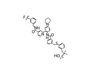 CC(C)(Cc1cccc(SCc2cccc(C(=O)Nc3ccc(N4CCCCC4)cc3-c3cc(C(=O)NCc4cccc(C(F)(F)F)c4)ccn3)c2)c1)C(=O)O